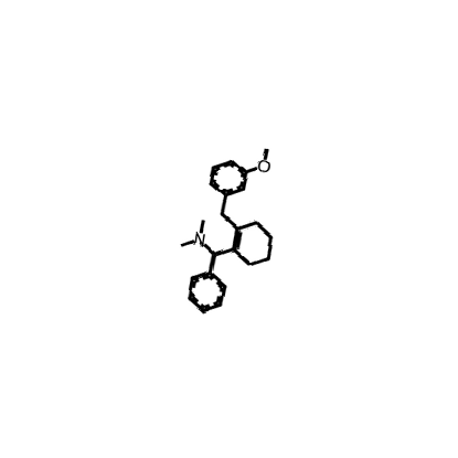 COc1cccc(CC2=C(C(c3ccccc3)N(C)C)CCCC2)c1